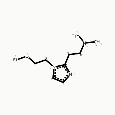 CCOCCn1ccnc1CCN(C)C